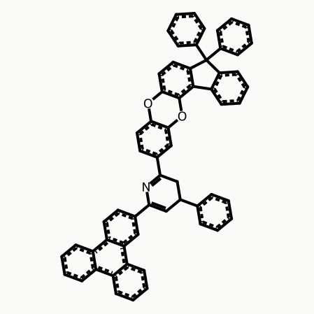 C1=C(c2ccc3c4ccccc4c4ccccc4c3c2)N=C(c2ccc3c(c2)Oc2c(ccc4c2-c2ccccc2C4(c2ccccc2)c2ccccc2)O3)CC1c1ccccc1